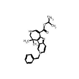 CC(C)OC(=O)C1=CNCC(C)(C)c2c3cn(Cc4ccccc4)ccc-3nc21